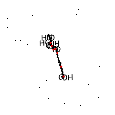 CCNC(=O)CCC(NC(=O)C1CCN(C(=O)CCCCCCCCCCCCCCCCCCC(=O)O)CC1)C(=O)O